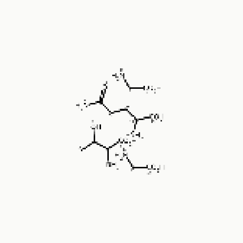 CC(O)C(N)C(=O)O.NC(=O)CCC(N)C(=O)O.NCC(=O)O.NCC(=O)O